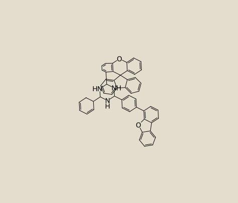 C1=CCC(C2NC(c3ccc(-c4cccc5c4oc4ccccc45)cc3)NC(c3cccc4c3C3(c5ccccc5O4)c4ccccc4-c4ccccc43)N2)C=C1